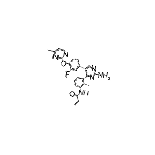 C=CC(=O)Nc1cccc(-c2nc(N)ncc2-c2ccc(Oc3nccc(C)n3)c(F)c2)c1C